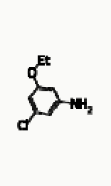 CCOc1cc(N)cc(Cl)c1